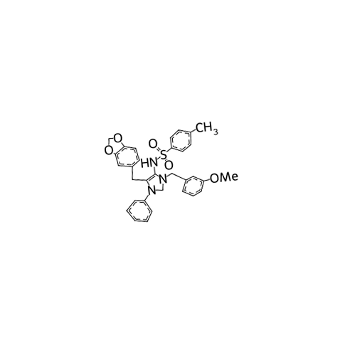 COc1cccc(CN2CN(c3ccccc3)C(Cc3ccc4c(c3)OCO4)=C2NS(=O)(=O)c2ccc(C)cc2)c1